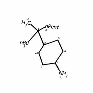 CCCCCC(C)(CCCC)C1CCC(N)CC1